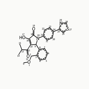 COCc1ccccc1C1C(C(=O)C(C)C)=C(O)C(=O)N1c1ccc(-c2cscn2)cc1